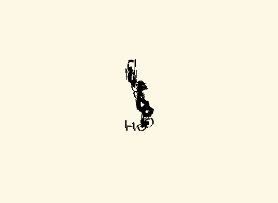 CN(CCCOc1ccc2c(c1)CC[C@H]2CC(=O)O)c1nc(Cl)ncc1Cl